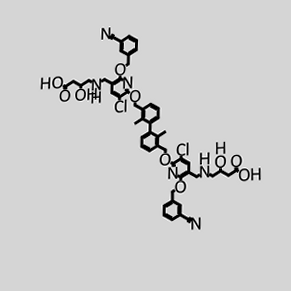 Cc1c(COc2nc(OCc3cccc(C#N)c3)c(CNCC(O)CC(=O)O)cc2Cl)cccc1-c1cccc(COc2nc(OCc3cccc(C#N)c3)c(CNCC(O)CC(=O)O)cc2Cl)c1C